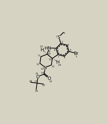 CSc1cc(Br)cc2c1N[C@@H]1CCN(C(=O)OC(C)(C)C)C[C@H]21